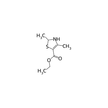 CCOC(=O)C1=C(C)NC(C)S1